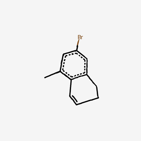 Cc1cc(Br)cc2c1C=CCC2